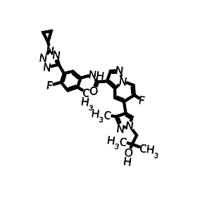 Cc1cc(F)c(-c2nnn(C3CC3)n2)cc1NC(=O)c1cnn2cc(F)c(-c3cn(CC(C)(C)O)nc3C)cc12